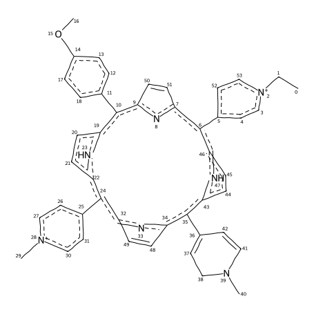 CC[n+]1ccc(-c2c3nc(c(-c4ccc(OC)cc4)c4ccc([nH]4)c(-c4cc[n+](C)cc4)c4nc(c(C5=CCN(C)C=C5)c5ccc2[nH]5)C=C4)C=C3)cc1